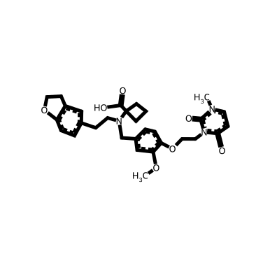 COc1cc(CN(CCc2ccc3c(c2)CCO3)C2(C(=O)O)CCC2)ccc1OCCn1c(=O)ccn(C)c1=O